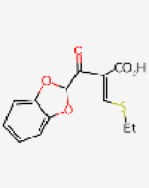 CCSC=C(C(=O)O)C(=O)C1Oc2ccccc2O1